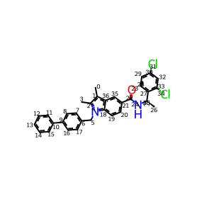 Cc1c(C)n(Cc2ccc(-c3ccccc3)cc2)c2ccc(C(=O)N[C@H](C)c3ccc(Cl)cc3Cl)cc12